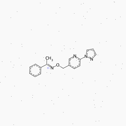 C/C(=N\OCc1ccc(-n2cccn2)nc1)c1ccccc1